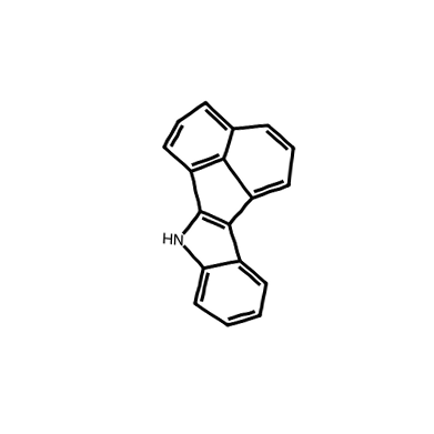 c1cc2c3c(cccc3c1)-c1c-2[nH]c2ccccc12